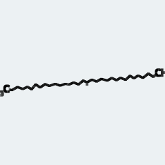 CCCCCCCCCCCCCCC[CH]CCCCCCCCCCCCCCCCC